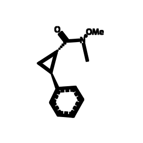 CON(C)C(=O)[C@H]1C[C@@H]1c1ccccc1